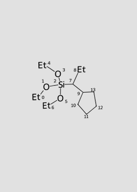 CCO[Si](OCC)(OCC)C(CC)C1CCCC1